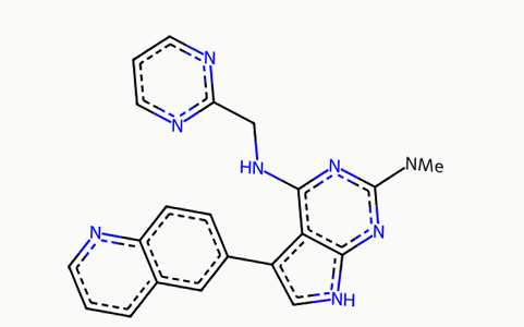 CNc1nc(NCc2ncccn2)c2c(-c3ccc4ncccc4c3)c[nH]c2n1